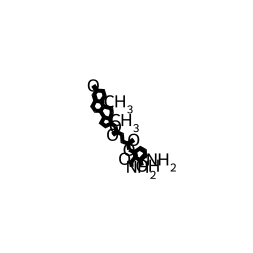 CC12CCC(=O)C=C1CCC1C2CCC2(C)C(OC(=O)CCC(=O)Oc3ccc(N)c(O)c3C(N)=O)CCC12